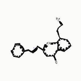 C=CCc1cccc2c(=O)cc(/C=C/c3ccccc3)oc12